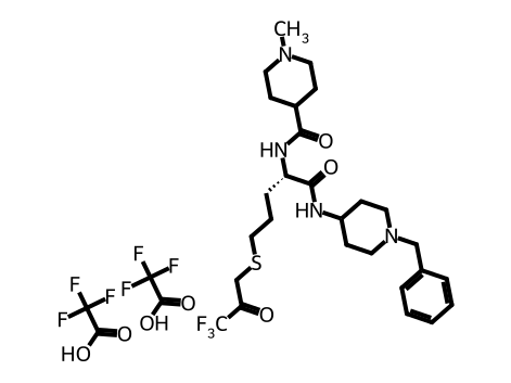 CN1CCC(C(=O)N[C@@H](CCCSCC(=O)C(F)(F)F)C(=O)NC2CCN(Cc3ccccc3)CC2)CC1.O=C(O)C(F)(F)F.O=C(O)C(F)(F)F